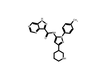 Cc1ccc(-n2nc(C3CCCNC3)cc2NC(=O)c2n[nH]c3cncnc23)cc1